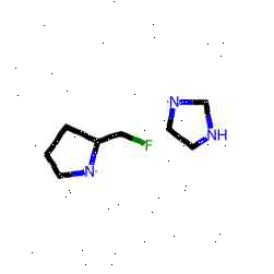 C1CNC[N]1.FCC1CCC[N]1